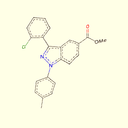 COC(=O)c1ccc2c(c1)c(-c1ccccc1Cl)nn2-c1ccc(C)cc1